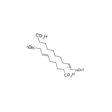 CCCCCCCC/C=C/CCCCCCCC(=O)O.CCCCCCCCCCCC=CCCCCC(=O)O